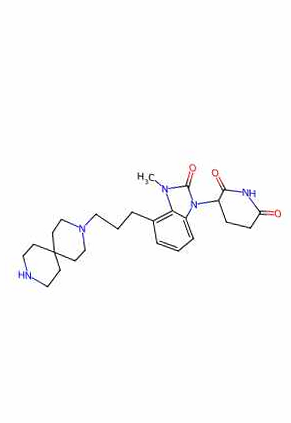 Cn1c(=O)n(C2CCC(=O)NC2=O)c2cccc(CCCN3CCC4(CCNCC4)CC3)c21